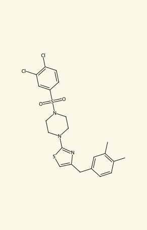 Cc1ccc(Cc2csc(N3CCN(S(=O)(=O)c4ccc(Cl)c(Cl)c4)CC3)n2)cc1C